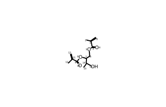 C=C(C)C(=O)OCC(OC(=O)C(=C)C)C(C)O